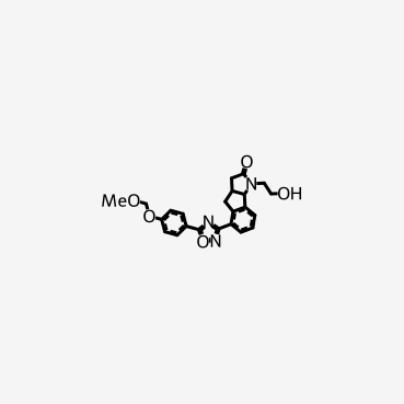 COCOc1ccc(-c2nc(-c3cccc4c3CC3CC(=O)N(CCO)C43)no2)cc1